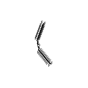 FC(F)C(F)(F)C(F)(F)C(F)(F)C(F)(F)C(F)(F)C(F)(F)C(F)(F)C(F)(F)C(F)(F)CC=COC=CCC(F)(F)C(F)(F)C(F)(F)C(F)(F)C(F)(F)C(F)(F)C(F)(F)C(F)(F)C(F)(F)C(F)F